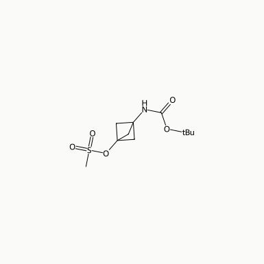 CC(C)(C)OC(=O)NC12CC(OS(C)(=O)=O)(C1)C2